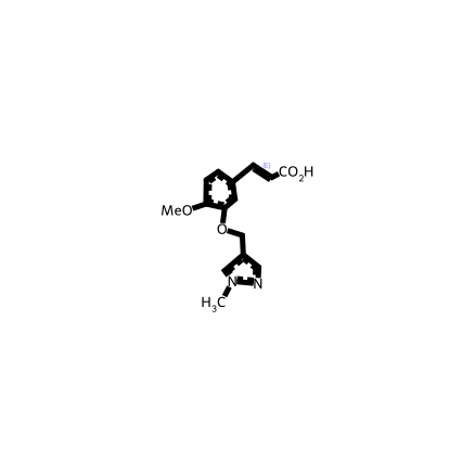 COc1ccc(/C=C/C(=O)O)cc1OCc1cnn(C)c1